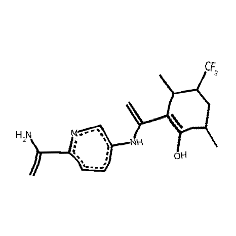 C=C(Nc1ccc(C(=C)N)nc1)C1=C(O)C(C)CC(C(F)(F)F)C1C